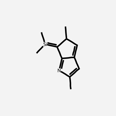 CC1=CC2=CC(C)C(=[Si](C)C)C2=N1